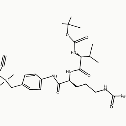 C#CC[N+](C)(C)Cc1ccc(NC(=O)[C@H](CCCNC(N)=O)NC(=O)[C@@H](NC(=O)OC(C)(C)C)C(C)C)cc1